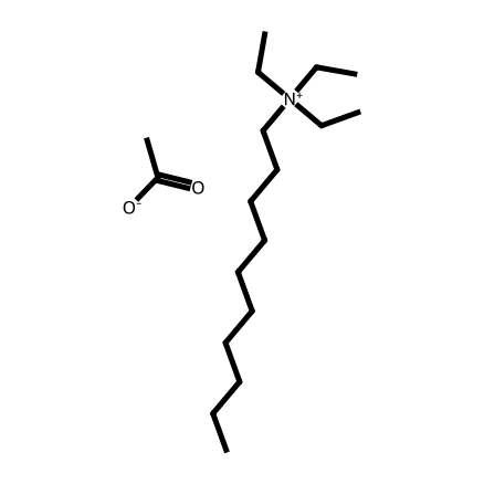 CC(=O)[O-].CCCCCCCCCC[N+](CC)(CC)CC